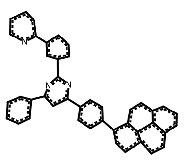 c1ccc(-c2cc(-c3ccc(-c4ccc5ccc6cccc7ccc4c5c67)cc3)nc(-c3cccc(-c4ccccn4)c3)n2)cc1